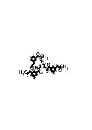 CCCc1cccc(C(=O)N(C)CCN(CCN(C)C(=O)c2cccc(CC(C)C)c2)CCN(C)C(=O)c2cccc(CC(C)C)c2)c1